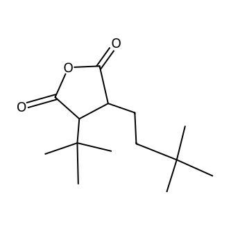 CC(C)(C)CCC1C(=O)OC(=O)C1C(C)(C)C